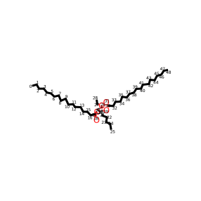 CCCCCCCCCCCCCCCCCC(=O)O[Si](CCCCC)(OCC)OC(=O)CCCCCCCCCCCCCCCCC